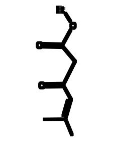 CCOC(=O)CC(=O)C=C(C)C